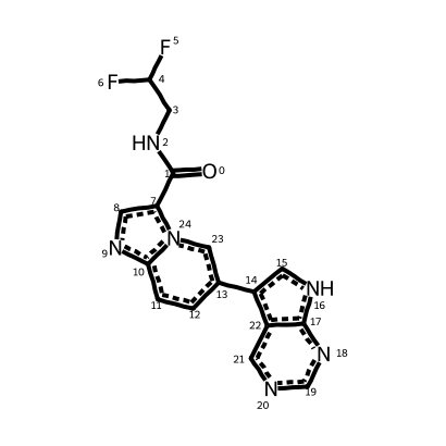 O=C(NCC(F)F)c1cnc2ccc(-c3c[nH]c4ncncc34)cn12